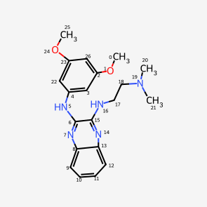 COc1cc(Nc2nc3ccccc3nc2NCCN(C)C)cc(OC)c1